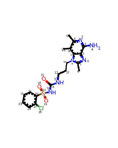 Cc1nc(N)c2nc(C)n(CCCNC(=O)NS(=O)(=O)c3ccccc3Cl)c2c1C